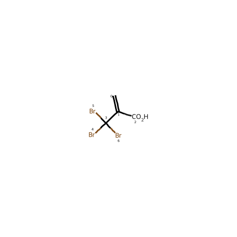 C=C(C(=O)O)C(Br)(Br)Br